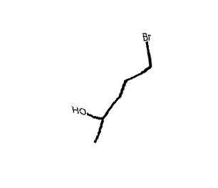 CC(O)CCCBr